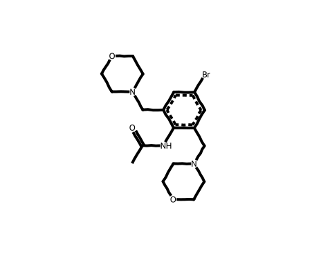 CC(=O)Nc1c(CN2CCOCC2)cc(Br)cc1CN1CCOCC1